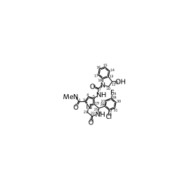 CNC(=O)c1cc(NC(=O)N2CC(O)c3ccccc32)c2n1CC(=O)NC2c1cc(F)ccc1Cl